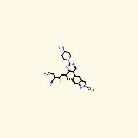 C=C/C(C#N)=C(F)\C=C(/C)c1nc(N2CCC(N)CC2)ncc1-c1ccc2nn(C)cc2c1